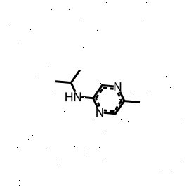 Cc1cnc(NC(C)C)cn1